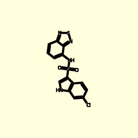 O=S(=O)(Nc1cccc2nsnc12)c1c[nH]c2cc(Cl)ccc12